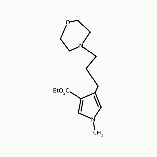 CCOC(=O)c1cn(C)cc1CCCN1CCOCC1